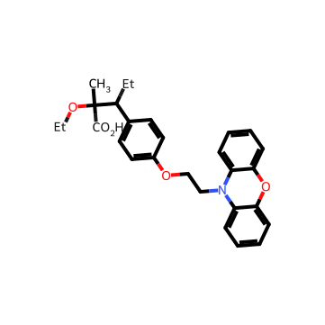 CCOC(C)(C(=O)O)C(CC)c1ccc(OCCN2c3ccccc3Oc3ccccc32)cc1